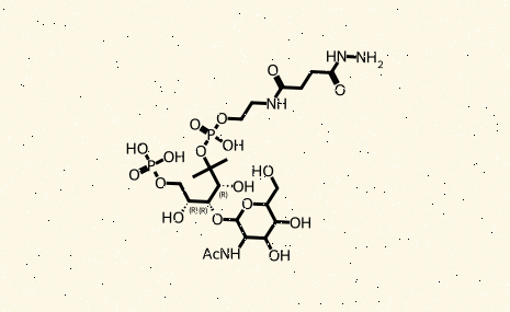 CC(=O)NC1C(O[C@H]([C@H](O)COP(=O)(O)O)[C@@H](O)C(C)(C)OP(=O)(O)OCCNC(=O)CCC(=O)NN)OC(CO)C(O)C1O